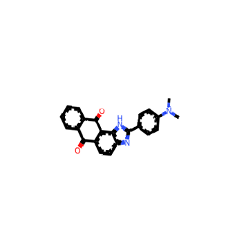 CN(C)c1ccc(-c2nc3ccc4c(c3[nH]2)C(=O)c2ccccc2C4=O)cc1